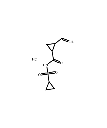 C=CC1CC1C(=O)NS(=O)(=O)C1CC1.Cl